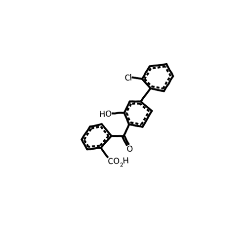 O=C(O)c1ccccc1C(=O)c1ccc(-c2ccccc2Cl)cc1O